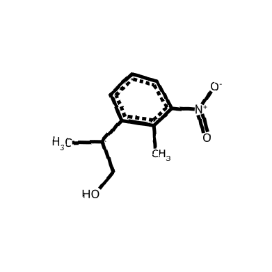 C[C](CO)c1cccc([N+](=O)[O-])c1C